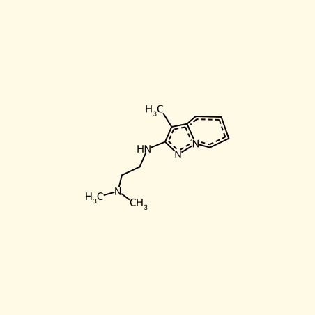 Cc1c(NCCN(C)C)nn2ccccc12